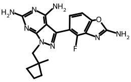 CC1(Cn2nc(-c3ccc4oc(N)nc4c3F)c3c(N)nc(N)nc32)CCC1